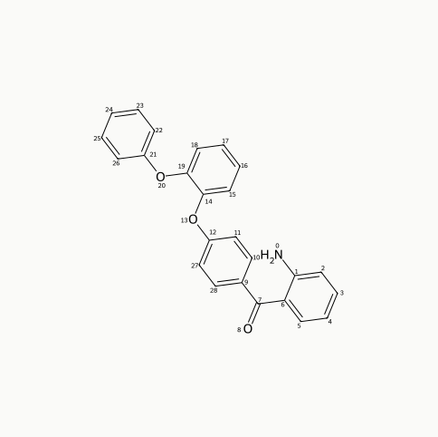 Nc1ccccc1C(=O)c1ccc(Oc2ccccc2Oc2ccccc2)cc1